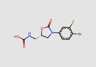 O=C(O)NC[C@H]1CN(c2ccc(Br)c(F)c2)C(=O)O1